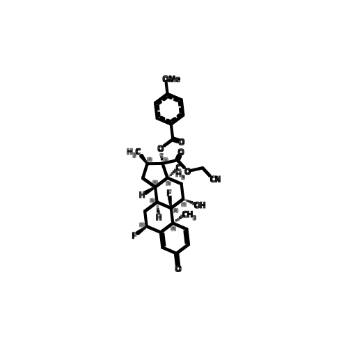 COc1ccc(C(=O)O[C@@]2(C(=O)OCC#N)[C@H](C)C[C@H]3[C@@H]4C[C@H](F)C5=CC(=O)C=C[C@]5(C)[C@@]4(F)[C@@H](O)C[C@@]32C)cc1